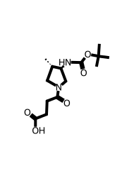 C[C@H]1CN(C(=O)CCC(=O)O)C[C@@H]1NC(=O)OC(C)(C)C